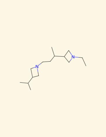 CCN1CC(C(C)CCN2CC(C(C)C)C2)C1